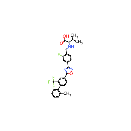 Cc1ccccc1-c1ccc(-c2nc(-c3ccc(CNC(C(=O)O)C(C)C)c(F)c3)no2)cc1C(F)(F)F